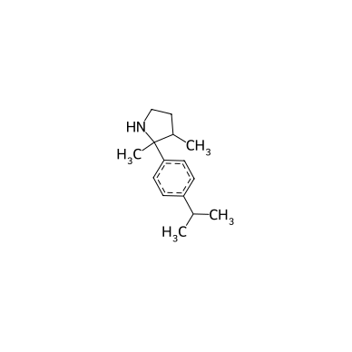 CC(C)c1ccc(C2(C)NCCC2C)cc1